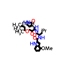 COc1cccc2[nH]c(C(=O)NC(CC(C)C)C(=O)NC(C[C@@H]3CCNC3=O)C(=O)COC(C)CC(C)(C)C(=O)O)cc12